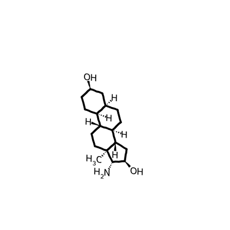 C[C@]12CC[C@H]3[C@@H](CC[C@@H]4C[C@H](O)CC[C@@H]43)[C@@H]1C[C@@H](O)[C@@H]2N